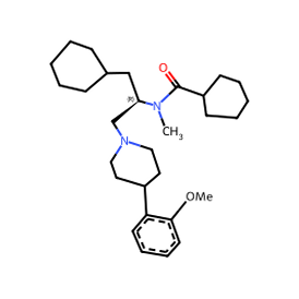 COc1ccccc1C1CCN(C[C@@H](CC2CCCCC2)N(C)C(=O)C2CCCCC2)CC1